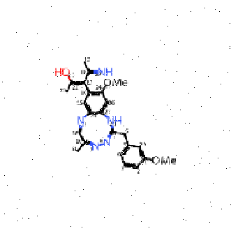 COc1cccc(Cc2nnc(C)cnc3cc(/C(C(C)=N)=C(\C)O)c(OC)cc3[nH]2)c1